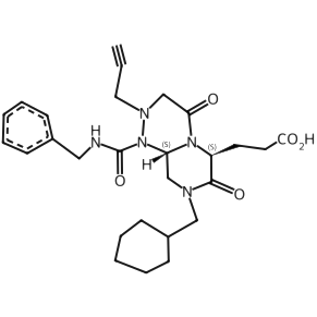 C#CCN1CC(=O)N2[C@@H](CCC(=O)O)C(=O)N(CC3CCCCC3)C[C@@H]2N1C(=O)NCc1ccccc1